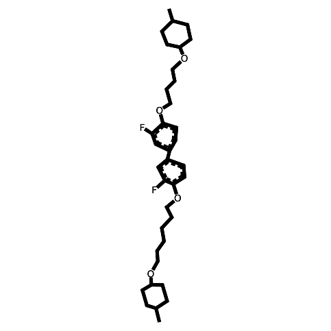 CC1CCC(OCCCCCCOc2ccc(-c3ccc(OCCCCOC4CCC(C)CC4)c(F)c3)cc2F)CC1